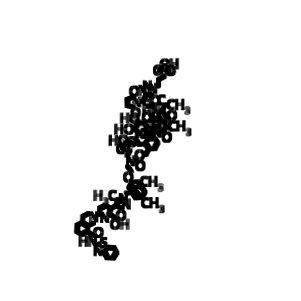 Cc1c(-c2ccc(N3CCc4cccc(C(=O)Nc5nc6ccccc6s5)c4C3)nc2C(=O)O)cnn1CC12CC3(C)CC(C)(C1)CC(OCCN(CCS(=O)(=O)O)C(=O)OCc1ccc(NC(=O)[C@H](C)NC(=O)[C@@H](NC(=O)C[C@@H](c4cn(CCCS(=O)(=O)O)nn4)N4C(=O)C=CC4=O)C(C)C)cc1CC[C@@H]1O[C@H](C(=O)O)[C@H](O)[C@@H](O)[C@H]1O)(C3)C2